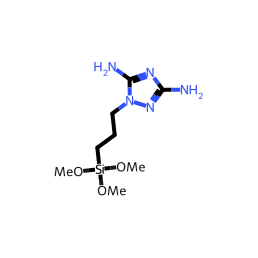 CO[Si](CCCn1nc(N)nc1N)(OC)OC